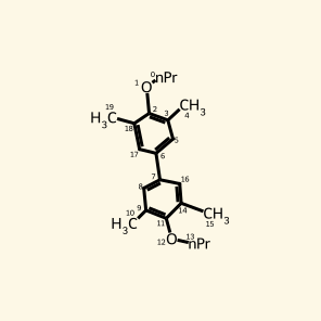 CCCOc1c(C)cc(-c2cc(C)c(OCCC)c(C)c2)cc1C